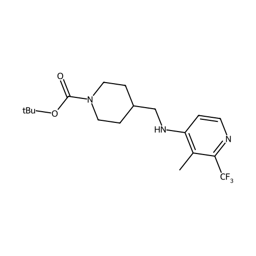 Cc1c(NCC2CCN(C(=O)OC(C)(C)C)CC2)ccnc1C(F)(F)F